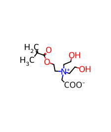 C=C(C)C(=O)OCC[N+](CCO)(CCO)CC(=O)[O-]